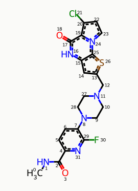 CNC(=O)c1ccc(N2CCN(Cc3cc4[nH]c(=O)c5c(Cl)ccn5c4s3)CC2)c(F)n1